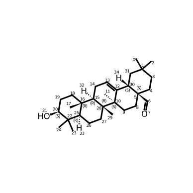 CC1(C)CC[C@]2(C=O)CC[C@]3(C)C(=CC[C@@H]4[C@@]5(C)CC[C@H](O)C(C)(C)[C@@H]5CC[C@]43C)[C@@H]2C1